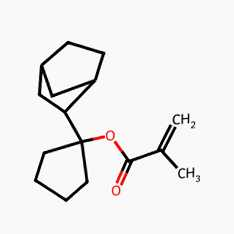 C=C(C)C(=O)OC1(C2CC3CCC2C3)CCCC1